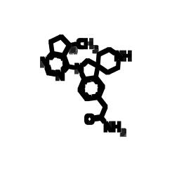 C[C@@H]1CCc2ncnc(N3CC4(CCNCC4)c4cc(CC(N)=O)ccc43)c21